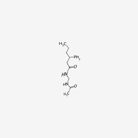 CCCC(P)CC(=O)NCNC(C)=O